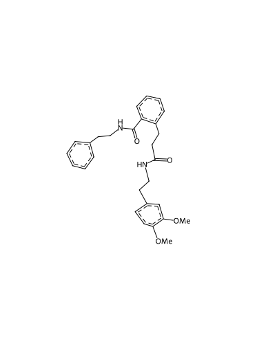 COc1ccc(CCNC(=O)CCc2ccccc2C(=O)NCCc2ccccc2)cc1OC